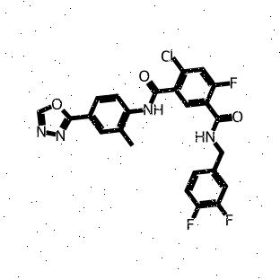 Cc1cc(-c2nnco2)ccc1NC(=O)c1cc(C(=O)NCc2ccc(F)c(F)c2)c(F)cc1Cl